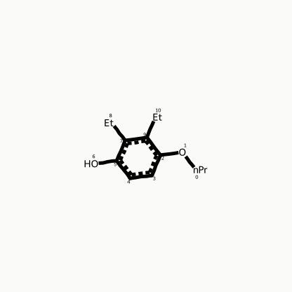 CCCOc1ccc(O)c(CC)c1CC